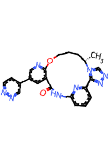 C[C@H]1CCCOc2ncc(-c3ccnnc3)cc2C(=O)Nc2cccc(n2)-c2nncn21